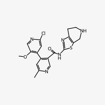 COc1cnc(Cl)cc1-c1cc(C)ncc1C(=O)Nc1nc2c(s1)CNCC2